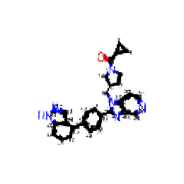 O=C(C1CC1)N1CC[C@@H](Cn2c(-c3ccc(-c4cccc5[nH]ncc45)cc3)nc3cnccc32)C1